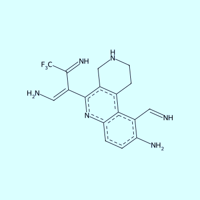 N=Cc1c(N)ccc2nc(/C(=C/N)C(=N)C(F)(F)F)c3c(c12)CCNC3